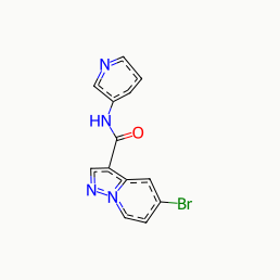 O=C(Nc1cccnc1)c1cnn2ccc(Br)cc12